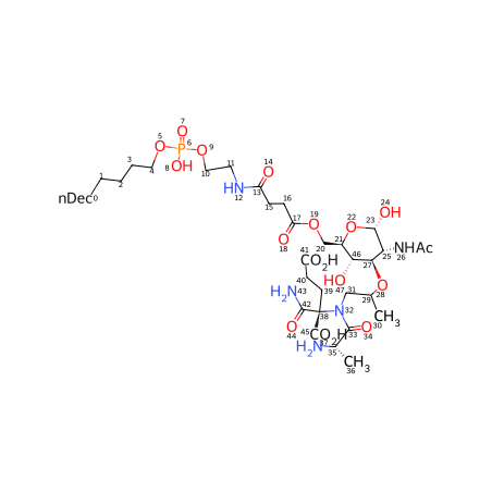 CCCCCCCCCCCCCCOP(=O)(O)OCCNC(=O)CCC(=O)OC[C@H]1O[C@H](O)[C@H](NC(C)=O)[C@@H](OC(C)CN(C(=O)[C@H](C)N)[C@@](CCC(=O)O)(C(N)=O)C(=O)O)[C@@H]1O